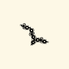 C=CC(=O)Oc1ccc(Cc2ccc(OC(=O)c3ccc(N(c4ccc(C)cc4)c4ccc(C(=O)Oc5ccc(C)cc5)cc4)cc3)cc2)cc1